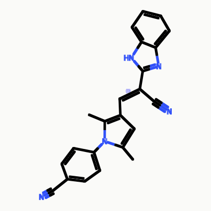 Cc1cc(/C=C(\C#N)c2nc3ccccc3[nH]2)c(C)n1-c1ccc(C#N)cc1